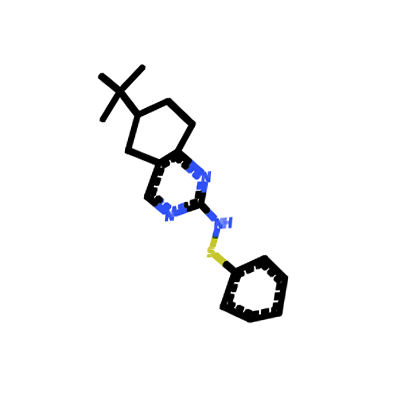 CC(C)(C)C1CCc2nc(NSc3ccccc3)ncc2C1